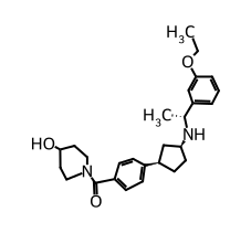 CCOc1cccc([C@@H](C)N[C@H]2CC[C@@H](c3ccc(C(=O)N4CCC(O)CC4)cc3)C2)c1